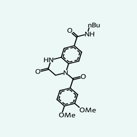 CCCCNC(=O)c1ccc2c(c1)NC(=O)CN2C(=O)c1ccc(OC)c(OC)c1